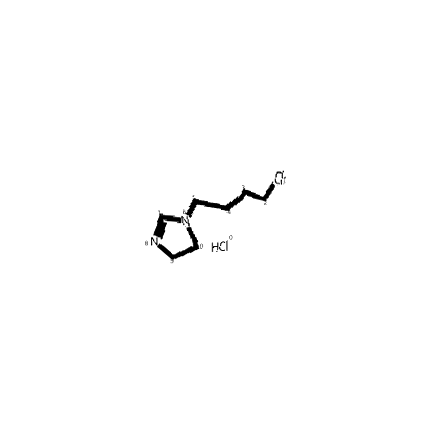 Cl.ClCCCCN1C=NCC1